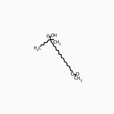 CCCCCCC(CC)(CCCCCCCCCCCCCCCCOC(C)=O)C(=O)O